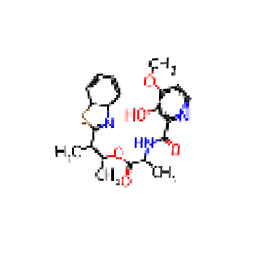 COc1ccnc(C(=O)NC(C)C(=O)OC(C)C(C)C2=NC3C=CC=CC3S2)c1O